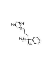 CC(=O)C(N)(CCC[C@H]1CNCN1)c1ccccc1